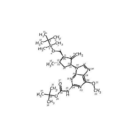 C=C1[C@H](CO[Si](C)(C)C(C)(C)C)[C@@H](C)C[C@@H]1n1cnc2c(OC)nc(NC(=O)OC(C)(C)C)nc21